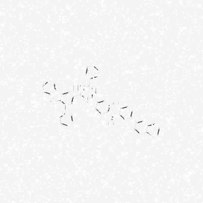 O=c1c2ccc(C3=NC(c4ccccc4)NC(c4cc5c6ccccc6oc5c5c4sc4ccccc45)=N3)cc2oc2ccc(-c3ccc4ccccc4c3)cc12